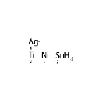 [Ag].[Ni].[SnH4].[Ti]